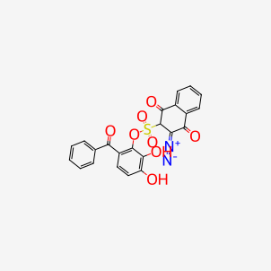 [N-]=[N+]=C1C(=O)c2ccccc2C(=O)C1S(=O)(=O)Oc1c(C(=O)c2ccccc2)ccc(O)c1O